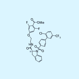 COC(=O)c1c(F)cc(OCCNC(=O)[C@@H]2Cc3ccccc3N2S(=O)(=O)c2ccc(-c3cc(C(F)(F)F)ccc3Cl)cc2)cc1F